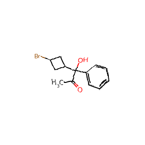 CC(=O)C(O)(c1ccccc1)C1CC(Br)C1